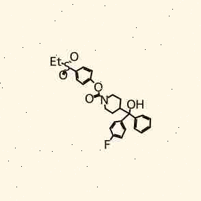 CCS(=O)(=O)c1ccc(OC(=O)N2CCC(C(O)(c3ccccc3)c3ccc(F)cc3)CC2)cc1